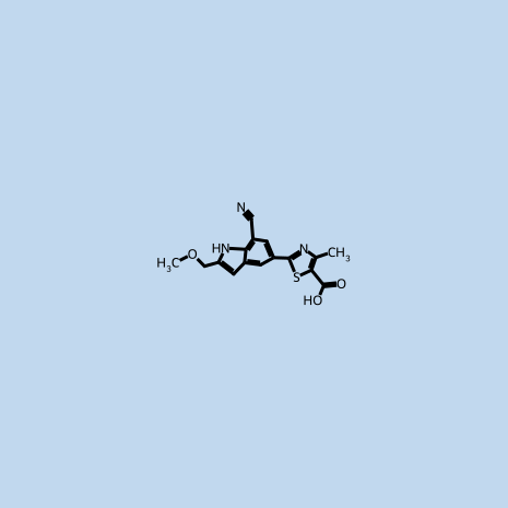 COCc1cc2cc(-c3nc(C)c(C(=O)O)s3)cc(C#N)c2[nH]1